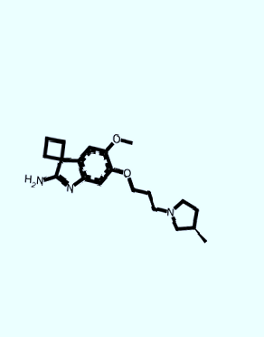 COc1cc2c(cc1OCCCN1CC[C@@H](C)C1)N=C(N)C21CCC1